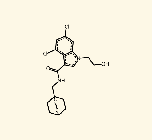 O=C(NCC12CCC(CC1)CC2)c1cn(CCO)c2cc(Cl)cc(Cl)c12